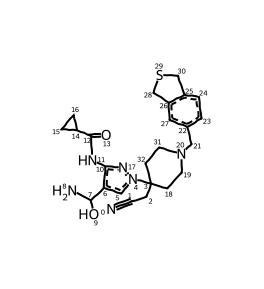 N#CCC1(n2cc(C(N)O)c(NC(=O)C3CC3)n2)CCN(Cc2ccc3c(c2)CSC3)CC1